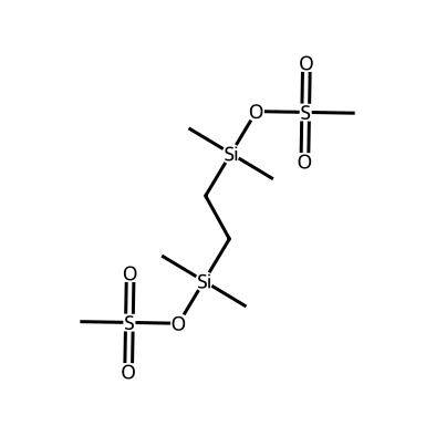 C[Si](C)(CC[Si](C)(C)OS(C)(=O)=O)OS(C)(=O)=O